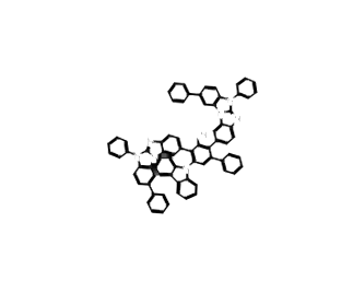 N#Cc1c(-c2ccc3nc4n(-c5ccccc5)c5ccc(-c6ccccc6)cc5n4c3c2)c(-c2ccccc2)cc(-n2c3ccccc3c3ccccc32)c1-c1ccc2nc3n(-c4ccccc4)c4ccc(-c5ccccc5)cc4n3c2c1